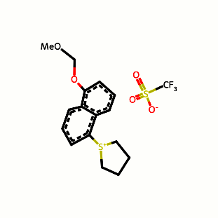 COCOc1cccc2c([S+]3CCCC3)cccc12.O=S(=O)([O-])C(F)(F)F